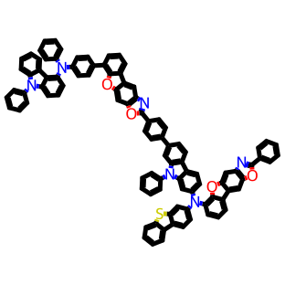 c1ccc(-c2nc3cc4oc5c(N(c6ccc7c(c6)sc6ccccc67)c6ccc7c8ccc(-c9ccc(-c%10nc%11cc%12c(cc%11o%10)oc%10c(-c%11ccc(N(c%13ccccc%13)c%13cccc%14c%13c%13ccccc%13n%14-c%13ccccc%13)cc%11)cccc%10%12)cc9)cc8n(-c8ccccc8)c7c6)cccc5c4cc3o2)cc1